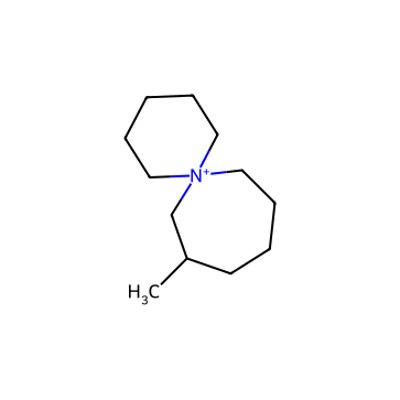 CC1CCCC[N+]2(CCCCC2)C1